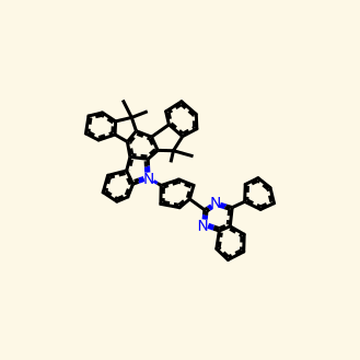 CC1(C)c2ccccc2-c2c1c1c(c3c2c2ccccc2n3-c2ccc(-c3nc(-c4ccccc4)c4ccccc4n3)cc2)C(C)(C)c2ccccc2-1